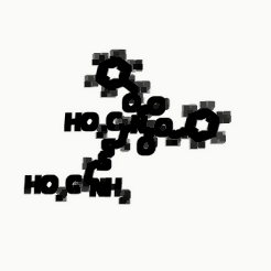 N[C@@H](CSSC[C@@H](C(=O)O)N(C(=O)OCc1ccccc1)C(=O)OCc1ccccc1)C(=O)O